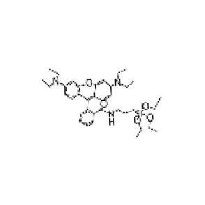 CCO[Si](CCCNC(=O)c1ccccc1C1=C2C=CC(N(CC)CC)C=C2Oc2cc(N(CC)CC)ccc21)(OCC)OCC